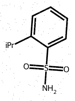 [CH2]C(C)c1ccccc1S(N)(=O)=O